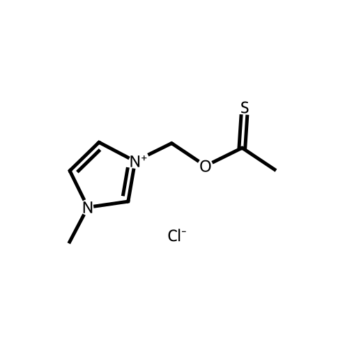 CC(=S)OC[n+]1ccn(C)c1.[Cl-]